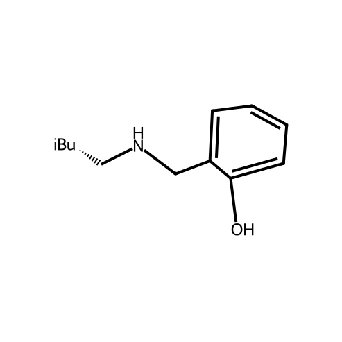 CC[C@@H](C)CNCc1ccccc1O